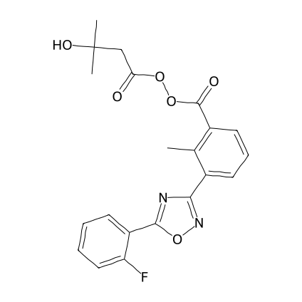 Cc1c(C(=O)OOC(=O)CC(C)(C)O)cccc1-c1noc(-c2ccccc2F)n1